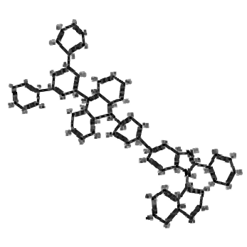 c1ccc(-c2cc(-c3ccccc3)cc(-c3c4ccccc4c(-c4ccc(-c5ccc6c(c5)nc(-c5ccccc5)n6-c5cccc6ccccc56)cc4)c4ccccc34)c2)cc1